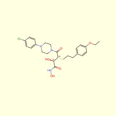 CCOc1ccc(CCC[C@@H](C(=O)N2CCN(c3ccc(Cl)cc3)CC2)[C@H](O)C(=O)NO)cc1